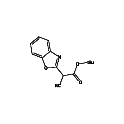 CC(C)(C)OC(=O)C(C#N)c1nc2ccccc2o1